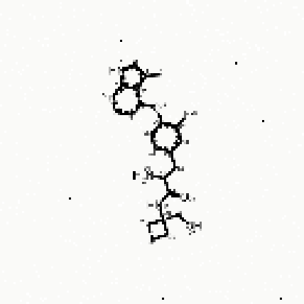 Cc1c[nH]c2nccc(Oc3ccc(CC(N)C(=O)NC4(CO)CCC4)cc3F)c12